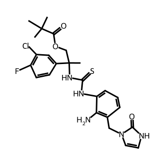 CC(C)(C)C(=O)OCC(C)(NC(=S)Nc1cccc(Cn2cc[nH]c2=O)c1N)c1ccc(F)c(Cl)c1